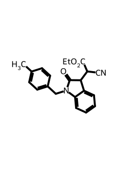 CCOC(=O)C(C#N)C1C(=O)N(Cc2ccc(C)cc2)c2ccccc21